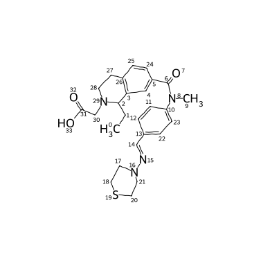 CCC1c2cc(C(=O)N(C)c3ccc(C=NN4CCSCC4)cc3)ccc2CCN1CC(=O)O